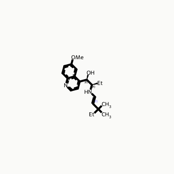 CC[C@@H](N/C=C/C(C)(C)CC)[C@H](O)c1ccnc2ccc(OC)cc12